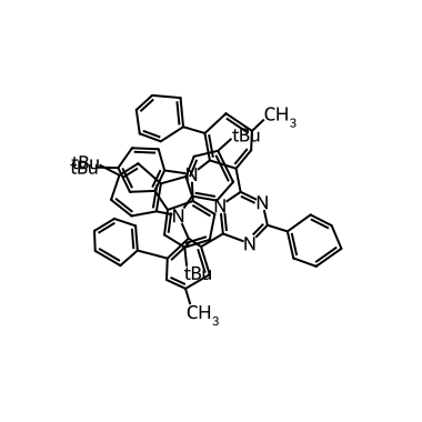 Cc1cc(-c2ccccc2)c(-n2c3ccc(C(C)(C)C)cc3c3cc(C(C)(C)C)ccc32)c(-c2nc(-c3ccccc3)nc(-c3cc(C)cc(-c4ccccc4)c3-n3c4ccc(C(C)(C)C)cc4c4cc(C(C)(C)C)ccc43)n2)c1